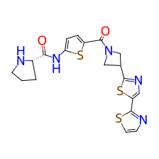 O=C(Nc1ccc(C(=O)N2CC(c3ncc(-c4nccs4)s3)C2)s1)[C@@H]1CCCN1